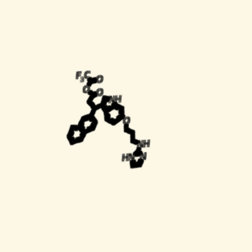 O=C(CC(c1ccc2ccccc2c1)c1c[nH]c2cc(OCCCNc3ncc[nH]3)ccc12)OC(=O)C(F)(F)F